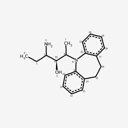 CCC(N)[C@H](O)C(C)N1c2ccccc2CCc2ccccc21